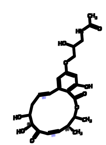 CC(=O)NCC(O)COc1cc(O)c2c(c1)/C=C/CC(O)[C@H](O)C(=O)/C=C\[C@@H](C)C(C)OC2=O